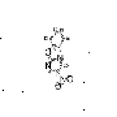 O=[N+]([O-])c1cnc(Oc2ccccc2)nc1